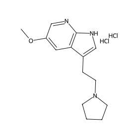 COc1cnc2[nH]cc(CCN3CCCC3)c2c1.Cl.Cl